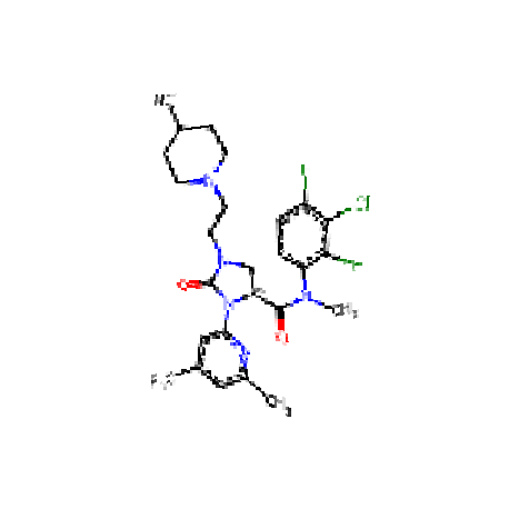 Cc1cc(C(F)(F)F)cc(N2C(=O)N(CCN3CCC(C#N)CC3)C[C@H]2C(=O)N(C)c2ccc(F)c(Cl)c2F)n1